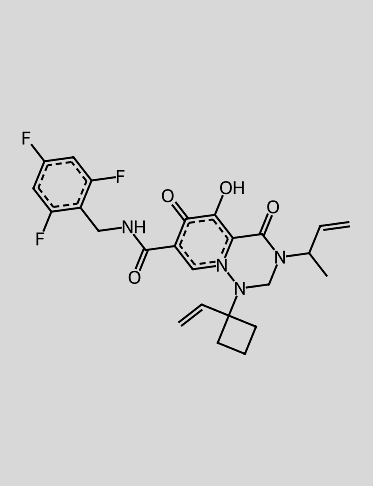 C=CC(C)N1CN(C2(C=C)CCC2)n2cc(C(=O)NCc3c(F)cc(F)cc3F)c(=O)c(O)c2C1=O